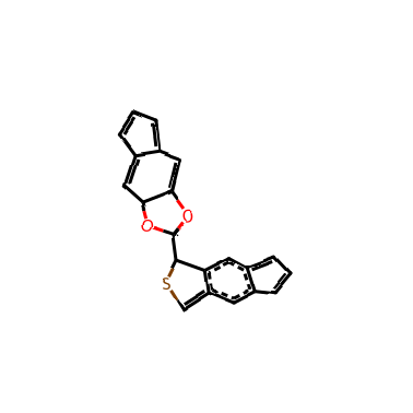 C1=CC2=CC3O[C](C4SC=c5cc6c(cc54)=CC=C6)OC3=CC2=C1